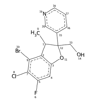 CC1c2c(cc(F)c(Cl)c2Br)OC1(CO)c1cccnc1